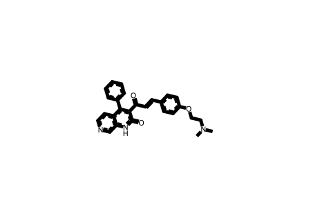 CN(C)CCOc1ccc(/C=C/C(=O)c2c(-c3ccccc3)c3ccncc3[nH]c2=O)cc1